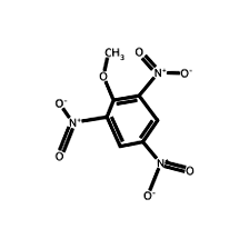 COc1c([N+](=O)[O-])cc([N+](=O)[O-])cc1[N+](=O)[O-]